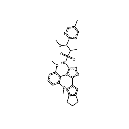 COc1cccc(OC)c1-n1c(NS(=O)(=O)C(C)C(OC)c2ncc(C)cn2)nnc1-c1cc2n(n1)CCC2